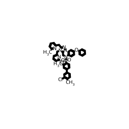 Cc1cccc(Cc2nnc(CN(c3ccc(Oc4ccccc4)cc3)S(=O)(=O)c3ccc(-c4ccc(C)c(Cl)c4)cc3C)n2Cc2cccc(C)n2)n1